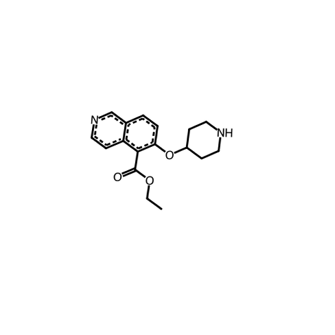 CCOC(=O)c1c(OC2CCNCC2)ccc2cnccc12